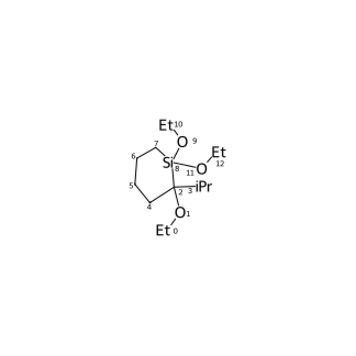 CCOC1(C(C)C)CCCC[Si]1(OCC)OCC